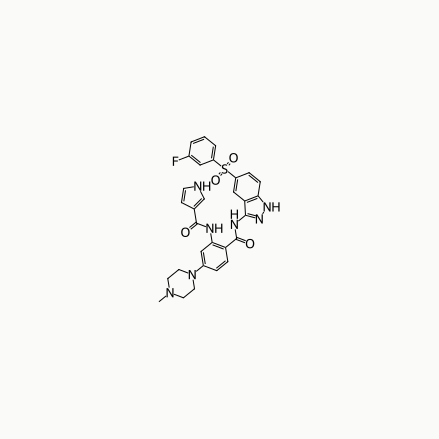 CN1CCN(c2ccc(C(=O)Nc3n[nH]c4ccc(S(=O)(=O)c5cccc(F)c5)cc34)c(NC(=O)c3cc[nH]c3)c2)CC1